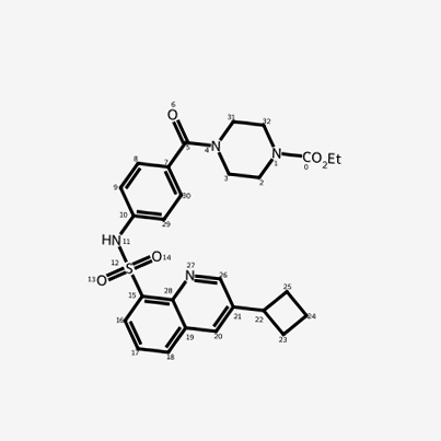 CCOC(=O)N1CCN(C(=O)c2ccc(NS(=O)(=O)c3cccc4cc(C5CCC5)cnc34)cc2)CC1